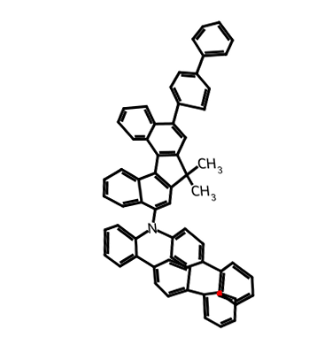 CC1(C)c2cc(-c3ccc(-c4ccccc4)cc3)c3ccccc3c2-c2c1cc(N(c1ccc(-c3ccccc3)cc1)c1ccccc1-c1ccc(-c3ccccc3)cc1)c1ccccc21